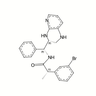 C[C@H](C(=O)N[C@H](c1ccccc1)[C@H]1CNc2cccnc2N1)c1cccc(Br)c1